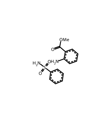 COC(=O)c1ccccc1N.NS(=O)(=O)c1ccccc1